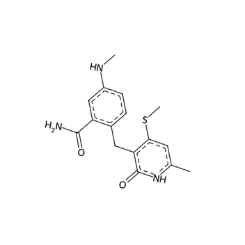 CNc1ccc(Cc2c(SC)cc(C)[nH]c2=O)c(C(N)=O)c1